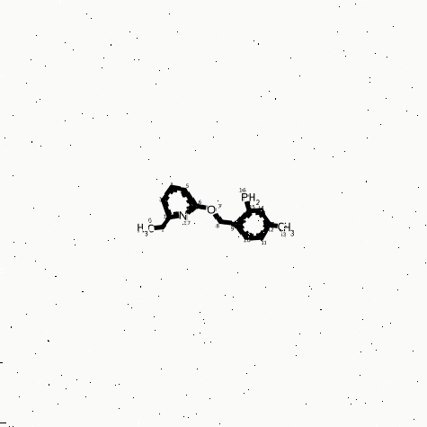 CCc1cccc(OCc2ccc(C)cc2P)n1